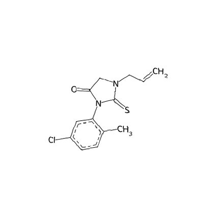 C=CCN1CC(=O)N(c2cc(Cl)ccc2C)C1=S